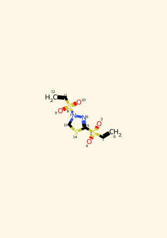 C=CS(=O)(=O)C1=NN(S(=O)(=O)C=C)CS1